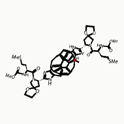 COC(=O)N[C@@H](CCSC)C(=O)N1CC2(C[C@H]1c1nc3cc(-c4cc5ccc4CCc4ccc(c(-c6ccc7[nH]c([C@@H]8CC9(CN8C(=O)[C@H](CCSC)NC(=O)OC)OCCO9)nc7c6)c4)C[C@H]5C)ccc3[nH]1)OCCO2